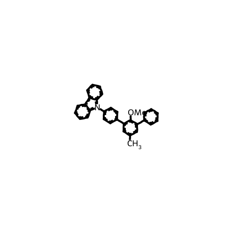 COc1c(-c2ccccc2)cc(C)cc1-c1ccc(-n2c3ccccc3c3ccccc32)cc1